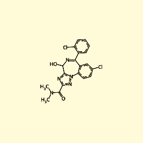 CN(C)C(=O)c1nc2n(n1)-c1ccc(Cl)cc1C(c1ccccc1Cl)=NC2O